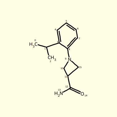 CC(C)c1ccccc1N1CC(C(N)=O)C1